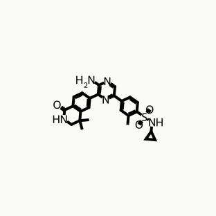 Cc1cc(-c2cnc(N)c(-c3ccc4c(c3)C(C)(C)CNC4=O)n2)ccc1S(=O)(=O)NC1CC1